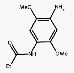 CCC(=O)Nc1cc(OC)c(N)cc1OC